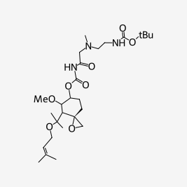 COC1C(OC(=O)NC(=O)CN(C)CCNC(=O)OC(C)(C)C)CC[C@]2(CO2)C1C(C)(C)OCC=C(C)C